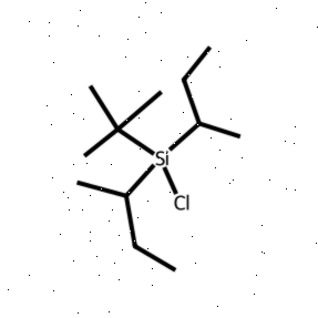 CCC(C)[Si](Cl)(C(C)CC)C(C)(C)C